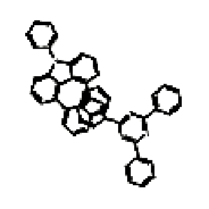 c1ccc(-c2nc(-c3ccccc3)nc(-c3cccc(-c4cccc5c4c4c(-c6cccc7ccccc67)cccc4n5-c4ccccc4)c3)n2)cc1